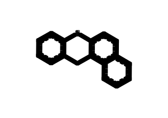 c1ccc2c(c1)Cc1c(ccc3ccccc13)S2